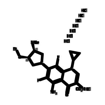 CCO[C@@H]1CN(c2c(F)c(N)c3c(=O)c(C(=O)O)cn(C4CC4)c3c2F)C[C@@H]1NC.Cl.Cl.Cl.Cl.Cl.Cl.Cl.Cl